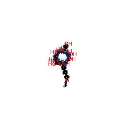 CCCCCOc1ccc(-c2ccc(-c3ccc(C(=O)NC4C[C@@H](O)C(OC(CO)CO)NC(=O)C5[C@@H](O)[C@@H](C)CN5C(=O)C([C@@H](C)O)NC(=O)C([C@H](O)[C@@H](O)c5ccc(O)cc5)NC(=O)C5C[C@@H](O)CN5C(=O)C([C@@H](C)O)NC4=O)cc3)cc2)cc1